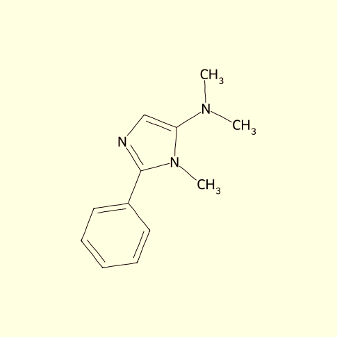 CN(C)c1cnc(-c2ccccc2)n1C